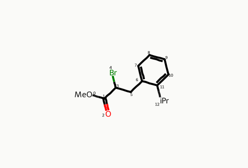 COC(=O)C(Br)Cc1ccccc1C(C)C